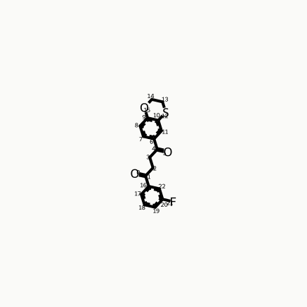 O=C(CCC(=O)c1ccc2c(c1)SCCO2)c1cccc(F)c1